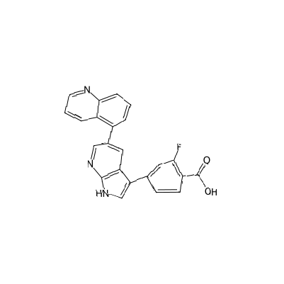 O=C(O)c1ccc(-c2c[nH]c3ncc(-c4cccc5ncccc45)cc23)cc1F